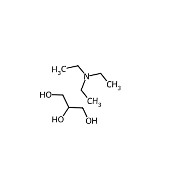 CCN(CC)CC.OCC(O)CO